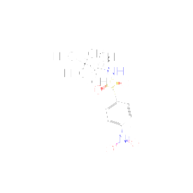 CC(C)(C)[Si](C)(C)NS(=O)(=O)c1ccc([N+](=O)[O-])cc1